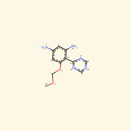 CCOCOc1cc(N)cc(N)c1-c1ncncn1